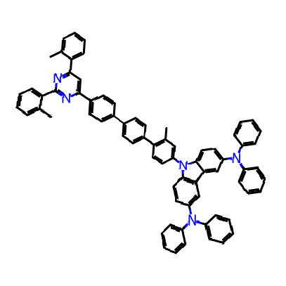 Cc1cc(-n2c3ccc(N(c4ccccc4)c4ccccc4)cc3c3cc(N(c4ccccc4)c4ccccc4)ccc32)ccc1-c1ccc(-c2ccc(-c3cc(-c4ccccc4C)nc(-c4ccccc4C)n3)cc2)cc1